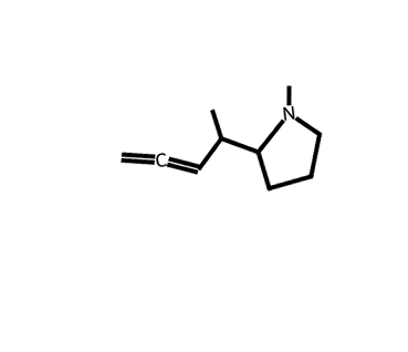 C=C=CC(C)C1CCCN1C